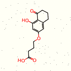 O=C(O)CCCOc1cc(O)c2c(c1)CCCC2=O